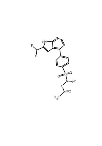 CC(C)N(OC(=O)C(F)(F)F)S(=O)(=O)c1ccc(-c2ccnc3[nH]c(C(F)F)cc23)cc1